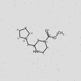 COC(=O)N1CCNC(CN2CCCC2)C1